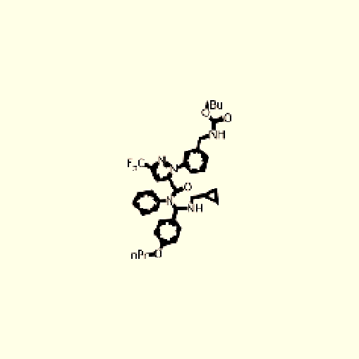 CCCOc1ccc(C(NCC2CC2)N(C(=O)c2cc(C(F)(F)F)nn2-c2cccc(CNC(=O)OC(C)(C)C)c2)c2ccccc2)cc1